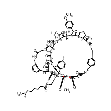 CNCCCCCC(=O)NC[C@H]1NC(=O)[C@H](C)NC(=O)CCC(=O)N2CCCCCCn3cc(c4cc(F)ccc43)C[C@@H]3NC(=O)[C@H](Cc4cccc(c4)CNC(=O)CO[C@H]4CCN(C3=O)[C@@H]4C(=O)N[C@@H]([C@@H](C)O)C(=O)N[C@@H](Cc3ccc(OC)cc3)C(=O)N3CCC[C@@]3(C)C(=O)NCCc3ccc(cc3)C2)NC1=O